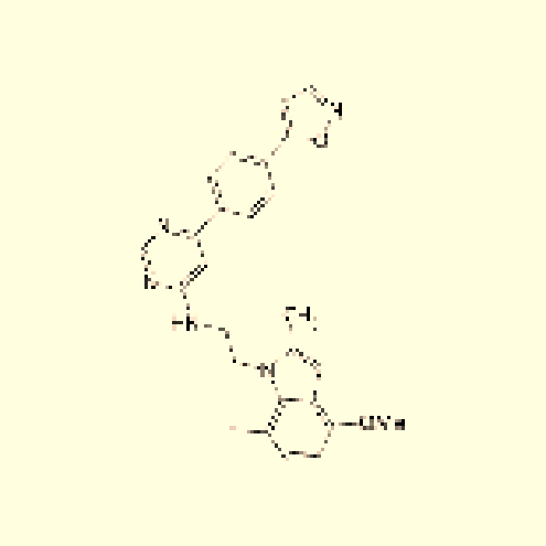 COc1ccc(F)c2c1cc(C)n2CCNc1cc(-c2ccc(-c3ccno3)cc2)ncn1